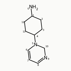 NC1CCC(N2C=CC=NC2)CC1